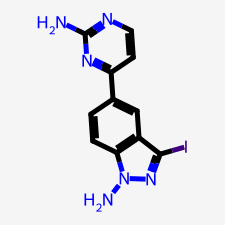 Nc1nccc(-c2ccc3c(c2)c(I)nn3N)n1